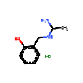 CC(N)NCc1ccccc1O.Cl